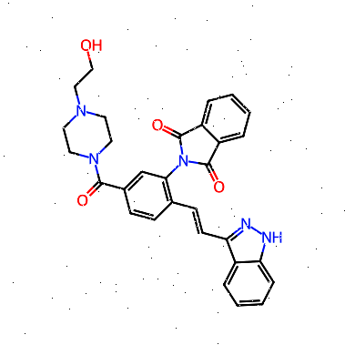 O=C(c1ccc(C=Cc2n[nH]c3ccccc23)c(N2C(=O)c3ccccc3C2=O)c1)N1CCN(CCO)CC1